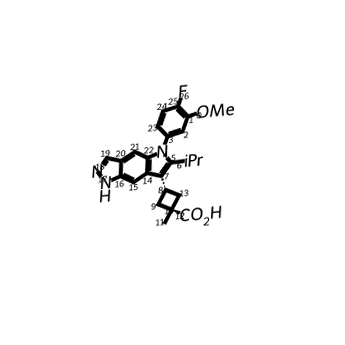 COc1cc(-n2c(C(C)C)c([C@H]3C[C@](C)(C(=O)O)C3)c3cc4[nH]ncc4cc32)ccc1F